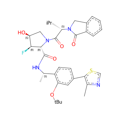 Cc1ncsc1-c1ccc([C@H](C)NC(=O)[C@@H]2[C@@H](F)[C@@H](O)CN2C(=O)[C@H](C(C)C)N2Cc3ccccc3C2=O)c(OC(C)(C)C)c1